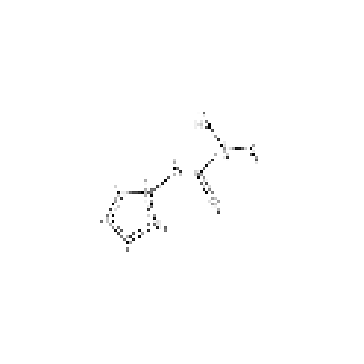 O=C(On1cccn1)N(S)S